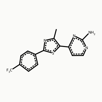 Cc1nc(-c2ccc(C(F)(F)F)cc2)sc1-c1ccnc(N)n1